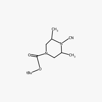 CC1CN(C(=O)OC(C)(C)C)CC(C)N1C#N